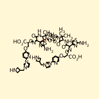 CC1(C)[C@H](NC(=O)/C(=N\O[C@@H](COc2ccc(-n3cc[n+](CC4CNC4)c3)nc2)C(=O)O)c2csc(N)n2)C(=O)N1OS(=O)(=O)ON1C(=O)[C@@H](NC(=O)/C(=N\O[C@@H](COc2ccc(-n3cc[n+](CC4CNC4)c3)nc2)C(=O)O)c2csc(N)n2)C1(C)C